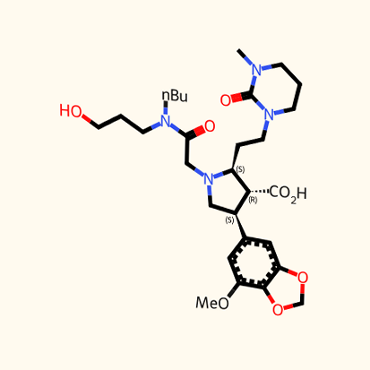 CCCCN(CCCO)C(=O)CN1C[C@H](c2cc(OC)c3c(c2)OCO3)[C@@H](C(=O)O)[C@@H]1CCN1CCCN(C)C1=O